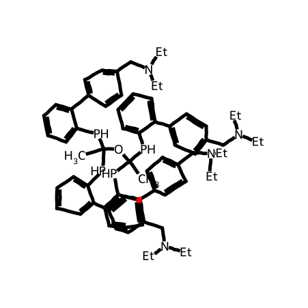 CCN(CC)Cc1ccc(-c2ccccc2PC(C)(OC(C)(Pc2ccccc2-c2ccc(CN(CC)CC)cc2)Pc2ccccc2-c2ccc(CN(CC)CC)cc2)Pc2ccccc2-c2ccc(CN(CC)CC)cc2)cc1